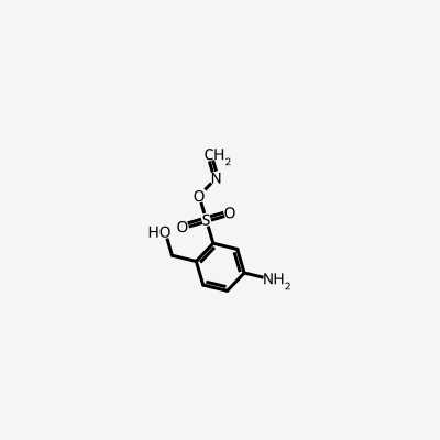 C=NOS(=O)(=O)c1cc(N)ccc1CO